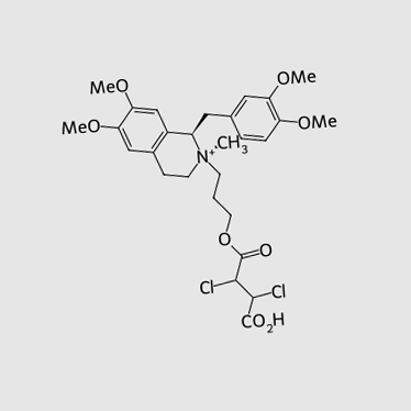 COc1ccc(C[C@@H]2c3cc(OC)c(OC)cc3CC[N@@+]2(C)CCCOC(=O)C(Cl)C(Cl)C(=O)O)cc1OC